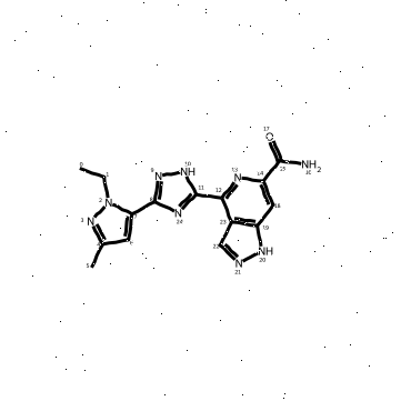 CCn1nc(C)cc1-c1n[nH]c(-c2nc(C(N)=O)cc3[nH]ncc23)n1